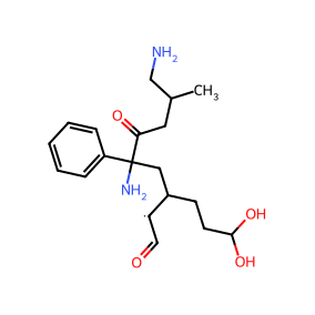 CC(CN)CC(=O)C(N)(CC([CH]C=O)CCC(O)O)c1ccccc1